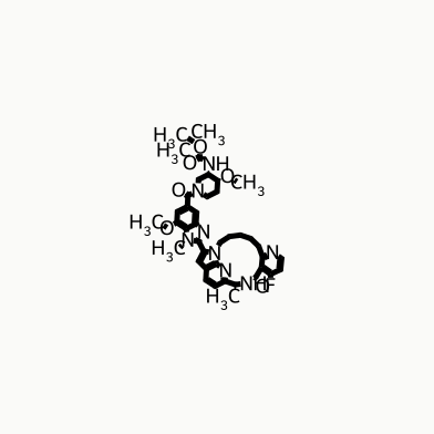 COc1cc(C(=O)N2CC[C@@H](OC)[C@@H](NC(=O)OC(C)(C)C)C2)cc2nc(-c3cc4ccc5nc4n3CCCCCc3nccc(F)c3C(=O)N[C@@H]5C)n(C)c12